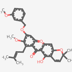 COc1cccc(COc2cc3oc4cc5c(c(O)c4c(=O)c3c(CC=C(C)C)c2OC)C=CC(C)(C)O5)c1